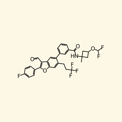 CC1(NC(=O)c2cccc(-c3cc4c(C=O)c(-c5ccc(F)cc5)oc4cc3CCC(F)(F)F)c2)CC(OC(F)F)C1